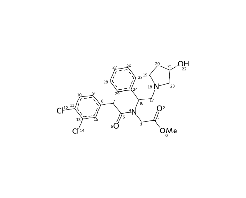 COC(=O)CN(C(=O)Cc1ccc(Cl)c(Cl)c1)C(CN1CCC(O)C1)c1ccccc1